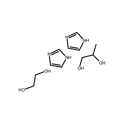 CC(O)CO.OCCO.c1c[nH]cn1.c1c[nH]cn1